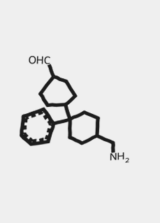 NCC1CCC(c2ccccc2)(C2CCC(C=O)CC2)CC1